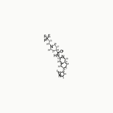 Cn1nccc1-c1ccc2cnc(NC(=O)C3CCN(CCC(F)(F)F)CC3)cc2c1